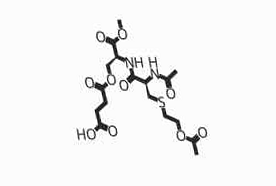 COC(=O)[C@H](COC(=O)CCC(=O)O)NC(=O)[C@H](CSCCOC(C)=O)NC(C)=O